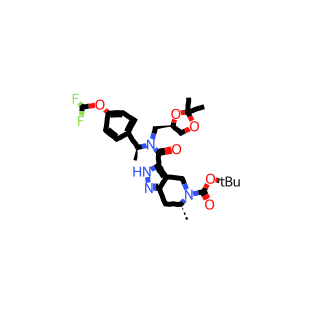 C[C@@H]1Cc2n[nH]c(C(=O)N(C[C@@H]3COC(C)(C)O3)[C@@H](C)c3ccc(OC(F)F)cc3)c2CN1C(=O)OC(C)(C)C